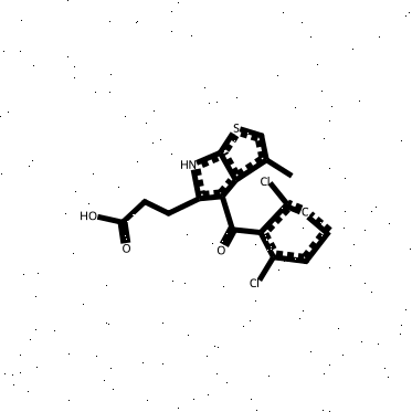 Cc1csc2[nH]c(CCC(=O)O)c(C(=O)c3c(Cl)cccc3Cl)c12